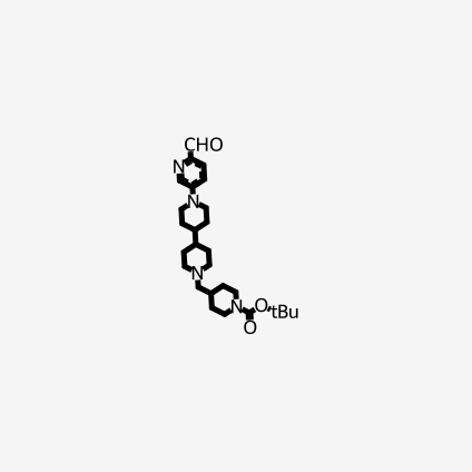 CC(C)(C)OC(=O)N1CCC(CN2CCC(C3CCN(c4ccc(C=O)nc4)CC3)CC2)CC1